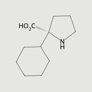 O=C(O)[C@]1(C2CCCCC2)CCCN1